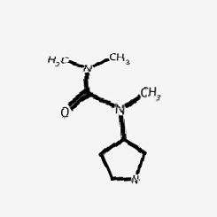 CN(C)C(=O)N(C)C1CC[N]C1